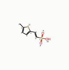 Cc1ccc(C=CS(=O)(=O)O)s1